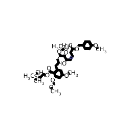 COCOc1cc(OC)cc(CCC[C@@H]2OC(C)(C)OC2C(O)/C=C\C[C@H](C)OCc2ccc(OC)cc2)c1C(=O)OCC[Si](C)(C)C